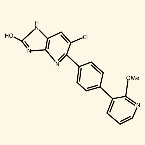 COc1ncccc1-c1ccc(-c2nc3nc(O)[nH]c3cc2Cl)cc1